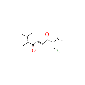 CC(C)[C@H](C)C(=O)/C=C/C(=O)[C@@H](CCl)C(C)C